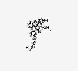 C=CCn1c(C(=O)N2CCNCC2)c(-c2ccccc2)n(-c2cccc(OCCCOC)c2)c1=O